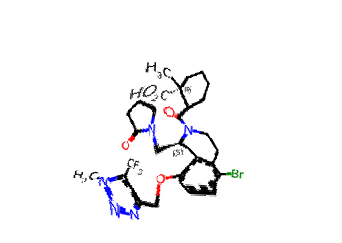 Cn1nnc(COc2ccc(Br)c3c2[C@@H](CN2CCCC2=O)N(C(=O)C2CCCC[C@@]2(C)C(=O)O)CC3)c1C(F)(F)F